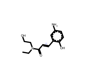 CCN(CCO)C(=O)/C=C/c1cc(N)ccc1O